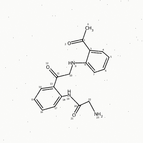 CC(=O)c1ccccc1NCC(=O)c1ccccc1NC(=O)CN